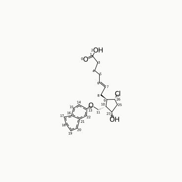 O=C(O)CCCC=CC[C@@H]1[C@@H](COc2ccc3ccccc3c2)[C@H](O)C[C@H]1Cl